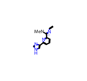 C=C/N=C(\NC)c1cccc(-c2c[nH]cn2)n1